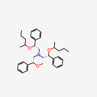 CCCC(C)O[C@@H](CN(C[C@H](OC)c1ccccc1)C[C@H](OC(C)CCC)c1ccccc1)c1ccccc1